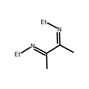 CCN=C(C)C(C)=NCC